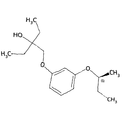 CC[C@H](C)Oc1cccc(OCC(O)(CC)CC)c1